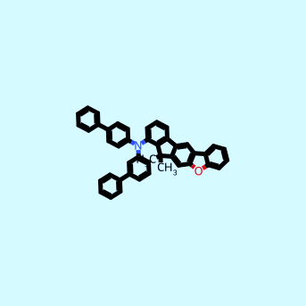 CC1(C)c2cc3oc4ccccc4c3cc2-c2cccc(N(c3ccc(-c4ccccc4)cc3)c3cccc(-c4ccccc4)c3)c21